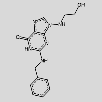 O=c1[nH]c(NCc2ccccc2)nc2c1ncn2NCCO